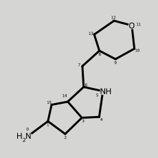 NC1CC2CNC(CC3CCOCC3)C2C1